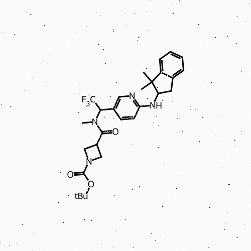 CN(C(=O)C1CN(C(=O)OC(C)(C)C)C1)C(c1ccc(NC2Cc3ccccc3C2(C)C)nc1)C(F)(F)F